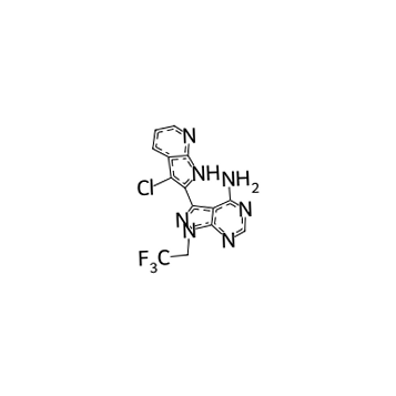 Nc1ncnc2c1c(-c1[nH]c3ncccc3c1Cl)nn2CC(F)(F)F